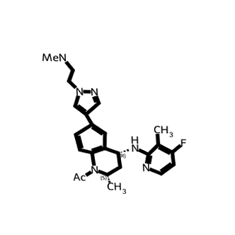 CNCCn1cc(-c2ccc3c(c2)[C@H](Nc2nccc(F)c2C)C[C@H](C)N3C(C)=O)cn1